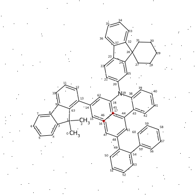 CC1(C)c2ccccc2-c2cccc(-c3cccc(N(c4ccc5c(c4)C4(CCCCC4)c4ccccc4-5)c4ccccc4-c4cccc(-c5ccccc5-c5ccccc5)c4)c3)c21